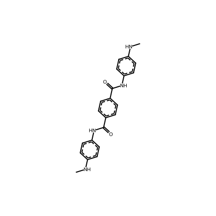 CNc1ccc(NC(=O)c2ccc(C(=O)Nc3ccc(NC)cc3)cc2)cc1